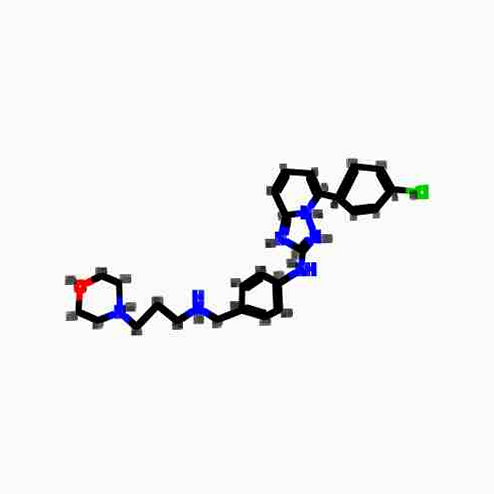 Clc1ccc(-c2cccc3nc(Nc4ccc(CNCCCN5CCOCC5)cc4)nn23)cc1